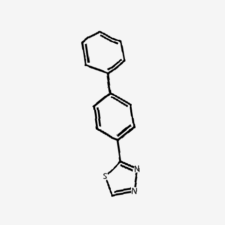 c1ccc(-c2ccc(-c3nncs3)cc2)cc1